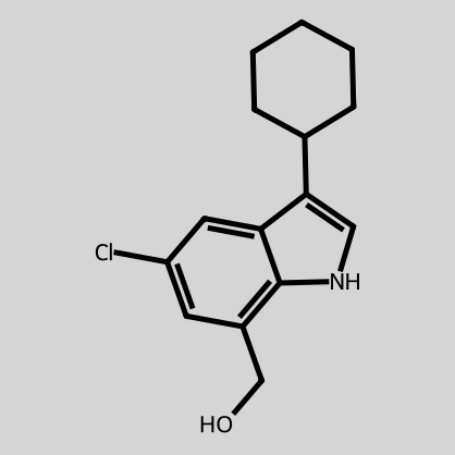 OCc1cc(Cl)cc2c(C3CCCCC3)c[nH]c12